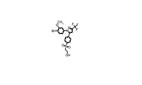 COc1cc(-n2nc(C(F)(F)F)cc2-c2ccc(S(=O)(=O)CCO)cc2)ccc1Br